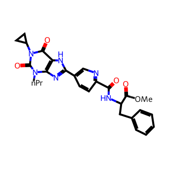 CCCn1c(=O)n(C2CC2)c(=O)c2[nH]c(-c3ccc(C(=O)NC(Cc4ccccc4)C(=O)OC)nc3)nc21